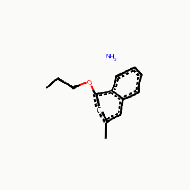 CCCOc1cc(C)cc2ccccc12.N